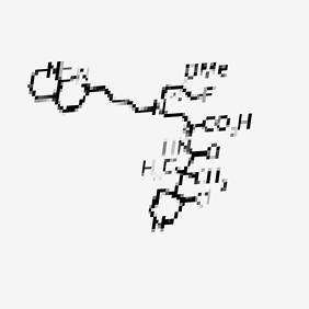 CO[C@H](CF)CN(CCCCc1ccc2c(n1)NCCC2)CC[C@H](NC(=O)C(C)(C)c1ccncc1Cl)C(=O)O